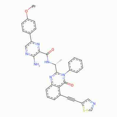 CC(C)Oc1ccc(-c2cnc(N)c(C(=O)N[C@H](C)c3nc4cccc(C#Cc5cncs5)c4c(=O)n3-c3ccccc3)n2)cc1